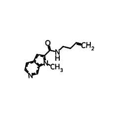 C=CCCNC(=O)c1cc2ccncc2n1C